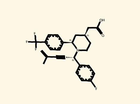 C=C(C)C#C[C@@H](c1ccc(F)cc1)N1CC[C@H](CC(=O)O)C[C@@H]1c1ccc(C(F)(F)F)cc1